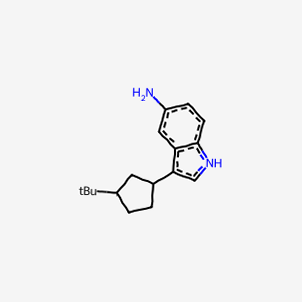 CC(C)(C)[C]1CCC(c2c[nH]c3ccc(N)cc23)C1